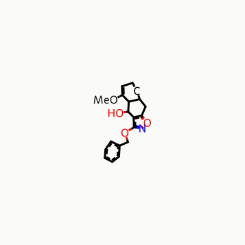 COC1=CCCC2Cc3onc(OCc4ccccc4)c3C(O)C12